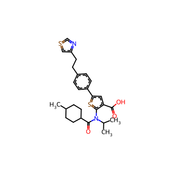 CC1CCC(C(=O)N(c2sc(-c3ccc(CCc4cscn4)cc3)cc2C(=O)O)C(C)C)CC1